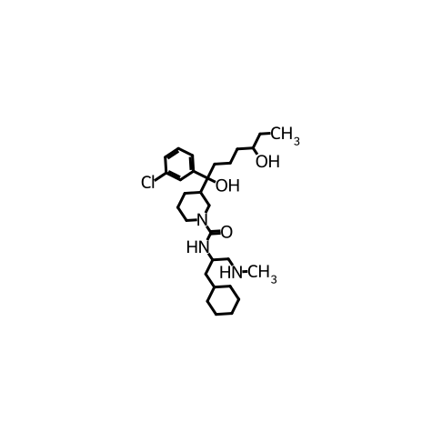 CCC(O)CCCC(O)(c1cccc(Cl)c1)C1CCCN(C(=O)NC(CNC)CC2CCCCC2)C1